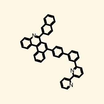 c1ccc(-c2cccc(-c3cccc(-c4ccc(-c5cc6c(-c7ccc8ccccc8c7)nc7ccccc7c6c6ccccc56)cc4)c3)n2)nc1